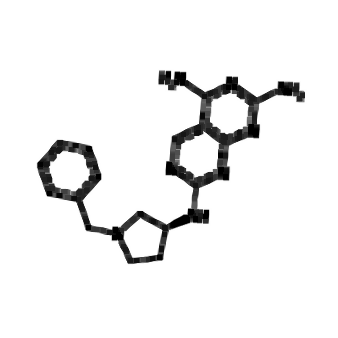 Nc1nc(N)c2cnc(N[C@H]3CCN(Cc4ccccc4)C3)nc2n1